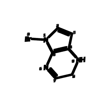 Brn1ccc2c1N=CCN2